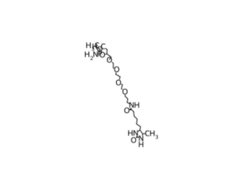 CCC(COCCOCCOCCOCCCNC(=O)CCCCCC1NC(=O)NC1C)OP(N)OC